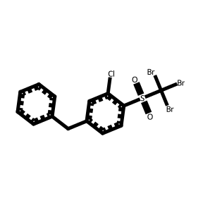 O=S(=O)(c1ccc(Cc2ccccc2)cc1Cl)C(Br)(Br)Br